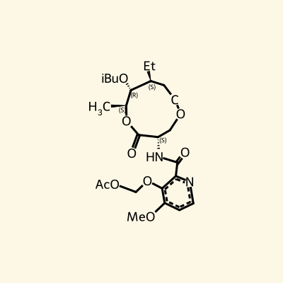 CC[C@H]1CCOC[C@H](NC(=O)c2nccc(OC)c2OCOC(C)=O)C(=O)O[C@@H](C)[C@@H]1OCC(C)C